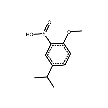 COc1ccc(C(C)C)cc1S(=O)O